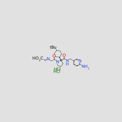 CC(C)(C)C1CCC([C@@]2(C(=O)NCc3ccc(N)nc3)CCCN2C(=O)CN=CC(=O)O)CC1.Cl.Cl